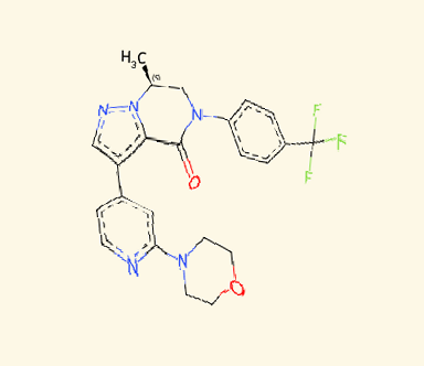 C[C@H]1CN(c2ccc(C(F)(F)F)cc2)C(=O)c2c(-c3ccnc(N4CCOCC4)c3)cnn21